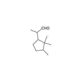 CC(C=O)C1CCC(C)C1(C)C